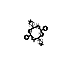 CC1(C)COC(c2c3nc(c(-c4ccccc4)c4ccc([nH]4)c(C4OCC(C)(C)CO4)c4nc(c(-c5ccccc5)c5ccc2[nH]5)C=C4)C=C3)OC1